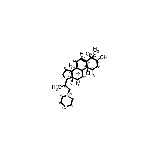 C[C@H](CN1CCSCC1)[C@H]1CC[C@H]2C3=CC=C4C(C)(C)[C@@H](O)CC[C@]4(C)[C@H]3CC[C@]12C